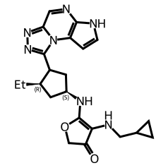 CC[C@@H]1C[C@H](NC2=C(NCC3CC3)C(=O)CO2)CC1c1nnc2cnc3[nH]ccc3n12